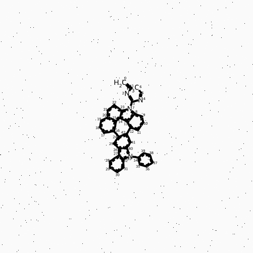 C=C/N=C(\N=C/C)n1c2cccc3c2c2c4c(cccc4ccc21)-c1cc2c4ccccc4n(-c4ccccc4)c2cc1-3